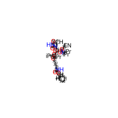 Cc1cn([C@H]2C[C@@H](OP(OCCC#N)N(C(C)C)C(C)C)[C@@H](CO[Si](OCCCCCCNC(=O)OC[C@@H]3[C@@H]4CCC#CCC[C@@H]43)(C(C)C)C(C)C)O2)c(=O)[nH]c1=O